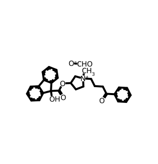 C[N+]1(CCCC(=O)c2ccccc2)CCC(OC(=O)C2(O)c3ccccc3-c3ccccc32)C1.O=C[O-]